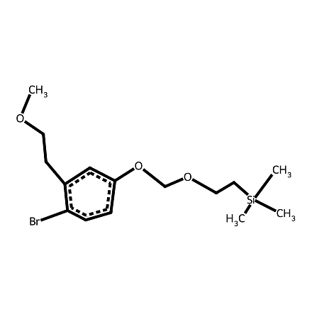 COCCc1cc(OCOCC[Si](C)(C)C)ccc1Br